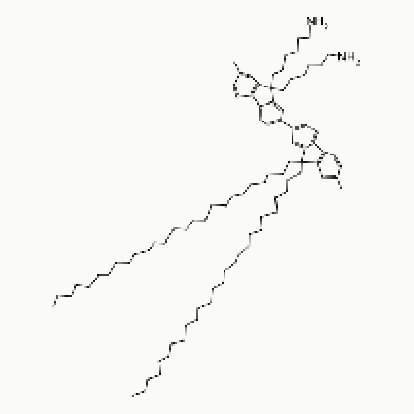 CCCCCCCCCCCCCCCCCCCCCCCCCCC1(CCCCCCCCCCCCCCCCCCCCCCCCCC)c2cc(C)ccc2-c2ccc(-c3ccc4c(c3)C(CCCCCCN)(CCCCCCN)c3cc(C)ccc3-4)cc21